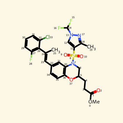 COC(=O)CCC1CN(S(=O)(=O)c2cn(C(F)F)nc2C)c2cc(C=C(C)c3c(F)cccc3Cl)ccc2O1